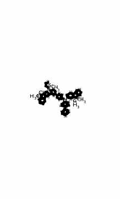 Cc1cc(-c2ccc(N(c3ccc(-c4ccccc4)cc3)c3ccc4c(c3)C(C)(C)c3ccccc3-4)cc2)cc2c3cc4c(cc3n(-c3cccs3)c12)C(C)(C)c1ccccc1-4